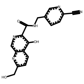 N#Cc1ccc(CNC(=O)c2ncc3nc(CO)ccc3c2O)cn1